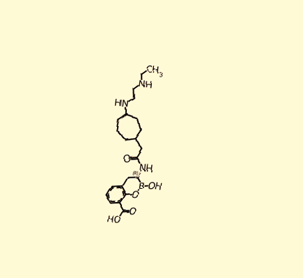 CCNCCNC1CCCC(CC(=O)N[C@H]2Cc3cccc(C(=O)O)c3OB2O)CC1